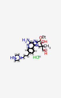 CCOCc1nc2c(N)nc3cc(CCCN4CCNCC4)ccc3c2n1CC(C)(CO)CO.Cl